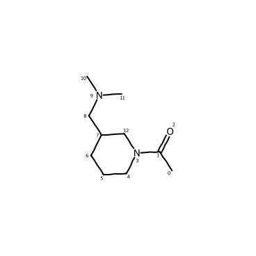 CC(=O)N1CCCC(CN(C)C)C1